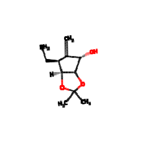 BC[C@H]1C(=C)[C@H](O)C2OC(C)(C)O[C@H]21